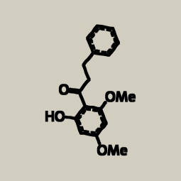 COc1cc(O)c(C(=O)CCc2ccccc2)c(OC)c1